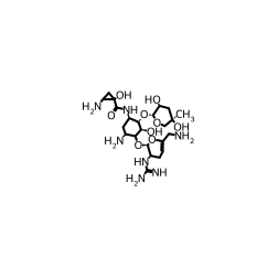 C[C@]1(O)CO[C@H](O[C@H]2[C@H](NC(=O)C3(O)CC3N)C[C@H](N)C(O[C@H]3OC(CN)=CC[C@H]3NC(=N)N)[C@@H]2O)[C@H](O)C1